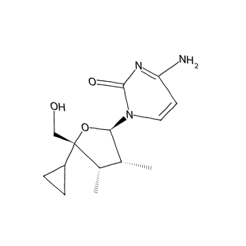 C[C@H]1[C@H](n2ccc(N)nc2=O)O[C@@](CO)(C2CC2)[C@H]1C